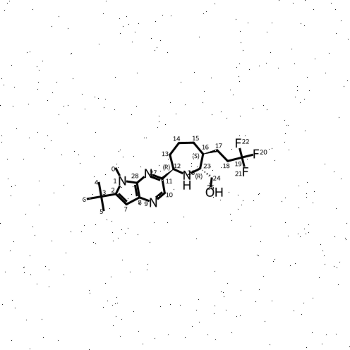 Cn1c(C(C)(C)C)cc2ncc([C@H]3CCC[C@@H](CCC(F)(F)F)[C@H](CO)N3)nc21